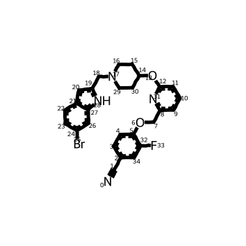 N#Cc1ccc(OCc2cccc(OC3CCN(Cc4cc5ccc(Br)cc5[nH]4)CC3)n2)c(F)c1